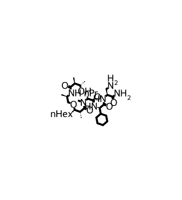 CCCCCC[C@@H](OC[C@@H](C)NC(=O)[C@@H](C)[C@H](C)O)[C@@H](C)C(=O)N(C)[C@@H](CCC)C(=O)N[C@H](C(=O)N[C@@H](CN)C(N)=O)C1CCCCC1